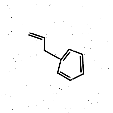 C=[C]Cc1c[c]ccc1